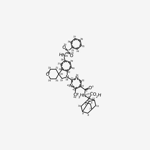 O=C(NC1(C(=O)O)C2CC3CC(C2)CC1C3)c1cnc(N2CC3(CCOCC3)c3cc(NS(=O)(=O)c4ccccc4)ccc32)nc1C(F)(F)F